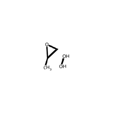 CC1CO1.OO